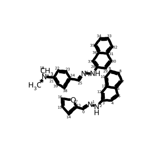 C(=NNc1ccc2ccccc2c1)c1ccco1.CN(C)c1ccc(C=NNc2ccc3ccccc3c2)cc1